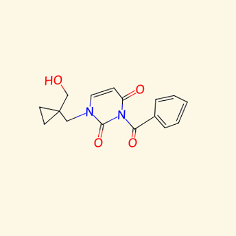 O=C(c1ccccc1)n1c(=O)ccn(CC2(CO)CC2)c1=O